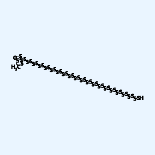 CC[S+]([O-])S(=S)(=S)SSSSSSSSSSSSSSSSSSSSSSSSSSSSSSSSSSSSSSS